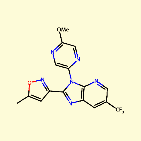 COc1cnc(-n2c(-c3cc(C)on3)nc3cc(C(F)(F)F)cnc32)cn1